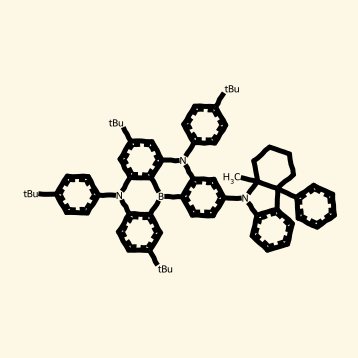 CC(C)(C)c1ccc(N2c3ccc(C(C)(C)C)cc3B3c4ccc(N5c6ccccc6C6(c7ccccc7)CCCCC56C)cc4N(c4ccc(C(C)(C)C)cc4)c4cc(C(C)(C)C)cc2c43)cc1